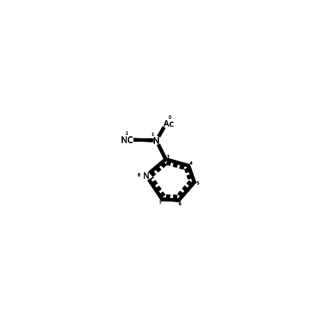 CC(=O)N(C#N)c1ccccn1